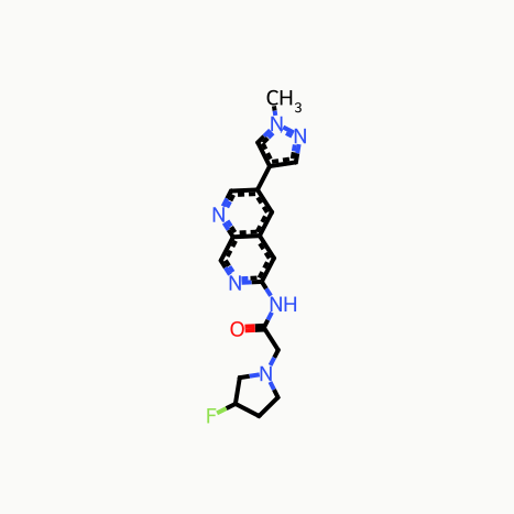 Cn1cc(-c2cnc3cnc(NC(=O)CN4CCC(F)C4)cc3c2)cn1